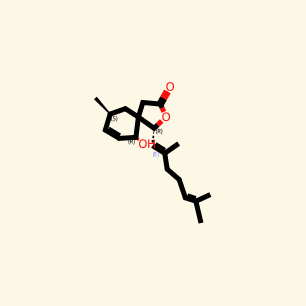 CC(C)=CCC/C(C)=C/[C@H]1OC(=O)CC12C[C@H](C)C=C[C@H]2O